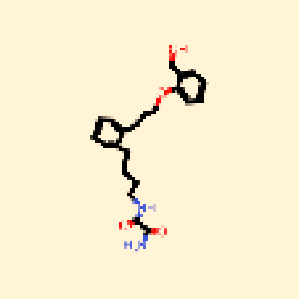 NC(=O)C(=O)NCCCCc1ccccc1CCCOc1ccccc1CO